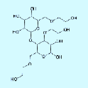 OCCOCC1OC(OC2C(COCCO)OC(O)C(O)C2OCCO)C(O)C(O)C1O